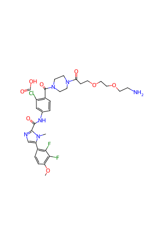 COc1ccc(-c2cnc(C(=O)Nc3ccc(C(=O)N4CCN(C(=O)CCOCCOCCN)CC4)c(Cl)c3)n2C)c(F)c1F.O=CO